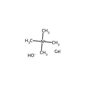 C[N+](C)(C)C.[Ge].[OH-]